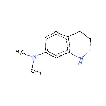 CN(C)c1ccc2c(c1)NCCC2